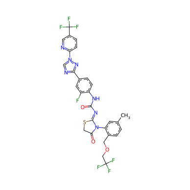 Cc1ccc(COCC(F)(F)F)c(N2C(=O)CSC2=NC(=O)Nc2ccc(-c3ncn(-c4ccc(C(F)(F)F)cn4)n3)cc2F)c1